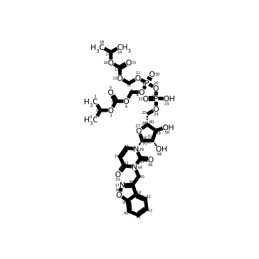 CC(C)OC(=O)OCOP(=O)(OCOC(=O)OC(C)C)OP(=O)(O)OC[C@H]1O[C@@H](n2ccc(=O)n(Cc3noc4ccccc34)c2=O)[C@@H](O)C1O